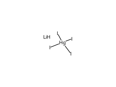 [I][Hg]([I])([I])[I].[LiH]